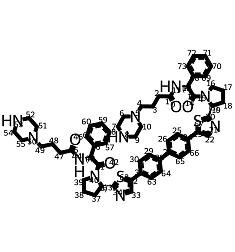 O=C(CCCN1CCNCC1)N[C@@H](C(=O)N1CCC[C@H]1c1ncc(-c2ccc(-c3ccc(-c4cnc([C@@H]5CCCN5C(=O)[C@H](NC(=O)CCCN5CCNCC5)c5ccccc5)s4)cc3)cc2)s1)c1ccccc1